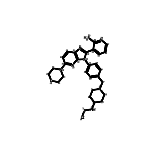 CCSNC1CCN(Cc2ccc(-n3c(-c4cccnc4N)nc4ccc(N5CCOCC5)nc43)cc2)CC1